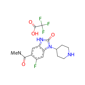 CNC(=O)c1cc2[nH]c(=O)n(C3CCNCC3)c2cc1F.O=C(O)C(F)(F)F